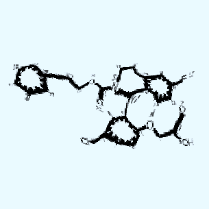 O=C(O)COc1ccc(Cl)cc1[C@@H]1c2ccc(F)cc2CCN1C(=O)OCCc1ccccc1